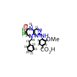 COc1cc(C(=O)O)ccc1Nc1ncc2c(n1)N(CCc1ccccc1)CC(F)(F)C(=O)N2C